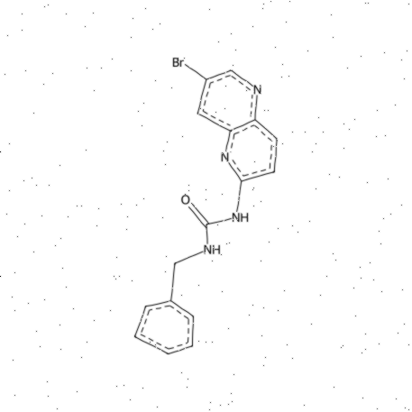 O=C(NCc1ccccc1)Nc1ccc2ncc(Br)cc2n1